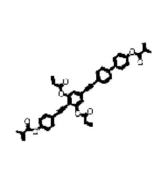 C=CC(=O)Oc1cc(C#Cc2ccc(-c3ccc(OC(=O)C(=C)C)cc3)cc2)cc(OC(=O)C=C)c1C#Cc1ccc(OC(=O)C(=C)C)cc1